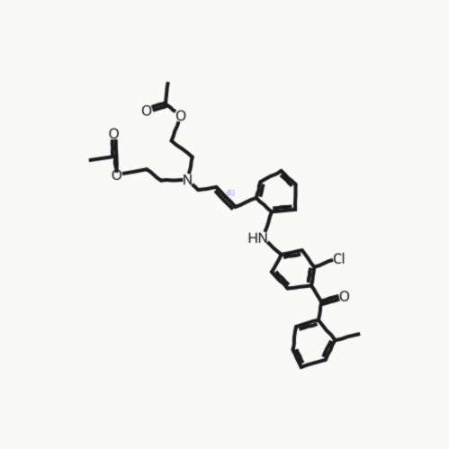 CC(=O)OCCN(C/C=C/c1ccccc1Nc1ccc(C(=O)c2ccccc2C)c(Cl)c1)CCOC(C)=O